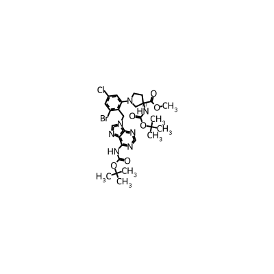 COC(=O)[C@@]1(NC(=O)OC(C)(C)C)CCN(c2cc(Cl)cc(Br)c2Cn2cnc3c(NC(=O)OC(C)(C)C)ncnc32)C1